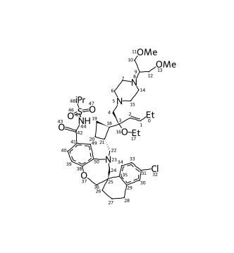 CC/C=C/[C@](CN1CCN(C(COC)COC)CC1)(OCC)[C@@H]1CC[C@H]1CN1C[C@@]2(CCCc3cc(Cl)ccc32)COc2ccc(C(=O)NS(=O)(=O)C(C)C)cc21